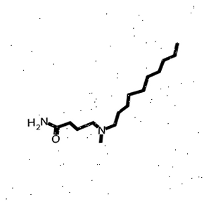 CCCCCCCCCCN(C)CCCC(N)=O